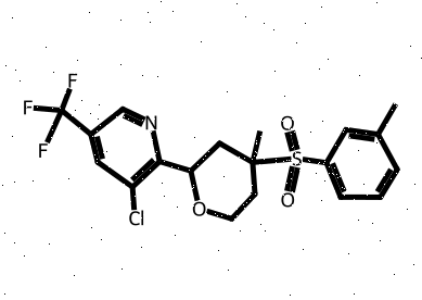 Cc1cccc(S(=O)(=O)C2(C)CCOC(c3ncc(C(F)(F)F)cc3Cl)C2)c1